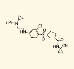 CCCN(CCNc1ccc(S(=O)(=O)[C@@H]2CC[C@@H](C(=O)NC3(C#N)CC3)C2)c(Cl)c1)C1CC1